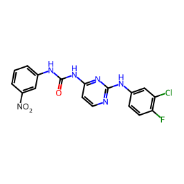 O=C(Nc1cccc([N+](=O)[O-])c1)Nc1ccnc(Nc2ccc(F)c(Cl)c2)n1